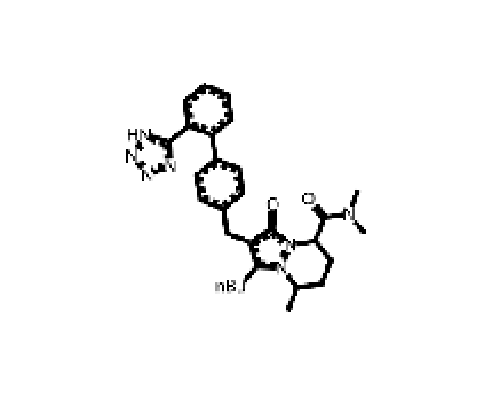 CCCCc1c(Cc2ccc(-c3ccccc3-c3nnn[nH]3)cc2)c(=O)n2n1C(C)CCC2C(=O)N(C)C